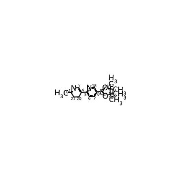 CC1=NC=C(c2ccc(B3OC(C)(C)C(C)(C)O3)cn2)CC1